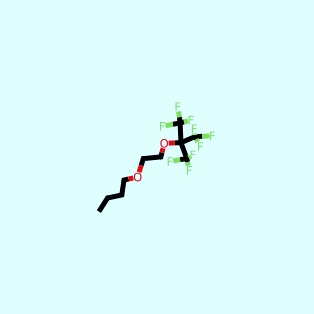 CCCCOCCOC(C(F)(F)F)(C(F)(F)F)C(F)(F)F